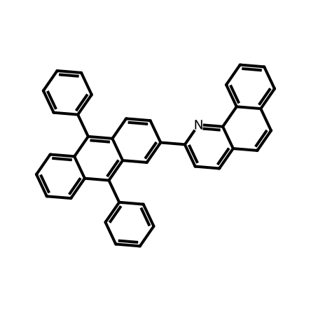 c1ccc(-c2c3ccccc3c(-c3ccccc3)c3cc(-c4ccc5ccc6ccccc6c5n4)ccc23)cc1